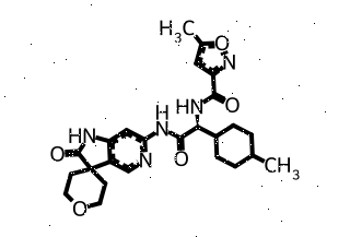 Cc1cc(C(=O)N[C@H](C(=O)Nc2cc3c(cn2)C2(CCOCC2)C(=O)N3)C2CCC(C)CC2)no1